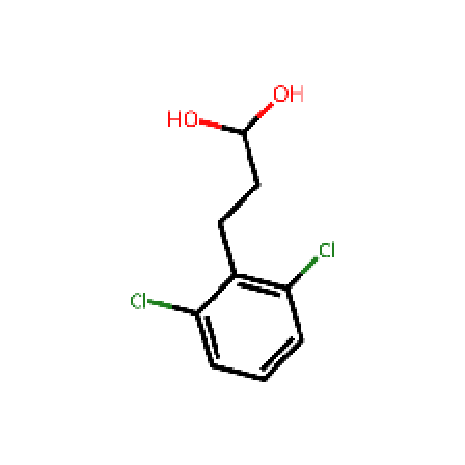 OC(O)CCc1c(Cl)cccc1Cl